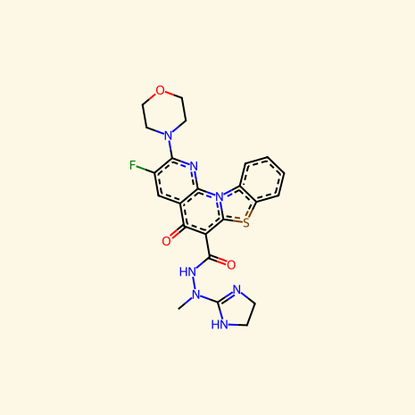 CN(NC(=O)c1c(=O)c2cc(F)c(N3CCOCC3)nc2n2c1sc1ccccc12)C1=NCCN1